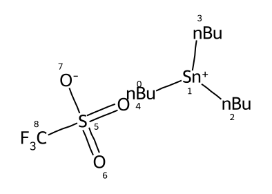 CCC[CH2][Sn+]([CH2]CCC)[CH2]CCC.O=S(=O)([O-])C(F)(F)F